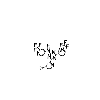 FC(F)(F)c1cc(Nc2nc(-c3cc(C4CC4)ccn3)nc(-c3cccc(C(F)(F)F)n3)n2)ccn1